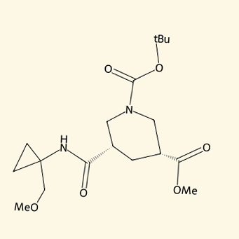 COCC1(NC(=O)[C@H]2C[C@@H](C(=O)OC)CN(C(=O)OC(C)(C)C)C2)CC1